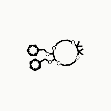 CC1(C)OCCCOC(OCc2ccccc2)C(OCc2ccccc2)OCCCOC1(C)C